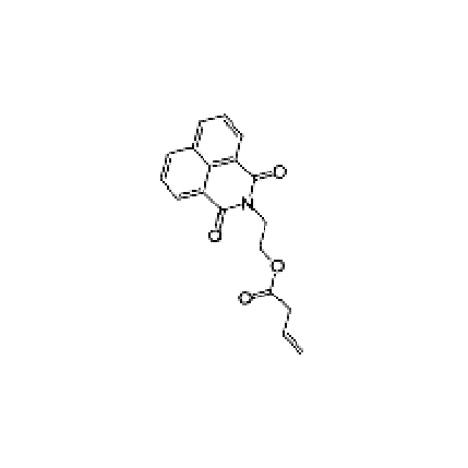 C=CCC(=O)OCCN1C(=O)c2cccc3cccc(c23)C1=O